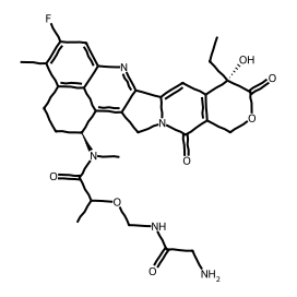 CC[C@@]1(O)C(=O)OCc2c1cc1n(c2=O)Cc2c-1nc1cc(F)c(C)c3c1c2[C@@H](N(C)C(=O)C(C)OCNC(=O)CN)CC3